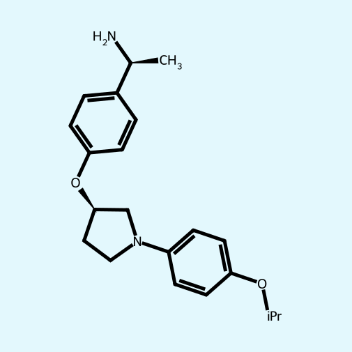 CC(C)Oc1ccc(N2CC[C@@H](Oc3ccc([C@H](C)N)cc3)C2)cc1